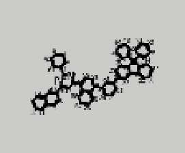 c1ccc(-c2nc(-c3ccc4ccccc4c3)cc(-c3ccc(-c4cccc(-c5ccc6c(c5)-c5ccccc5C6(c5ccccc5)c5ccccc5)c4)c4ccccc34)n2)cc1